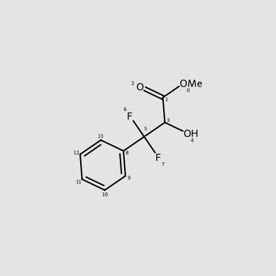 COC(=O)C(O)C(F)(F)c1ccccc1